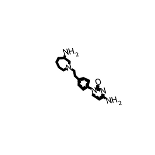 Nc1ccn(-c2ccc(CCN3CCCCC(N)C3)cc2)c(=O)n1